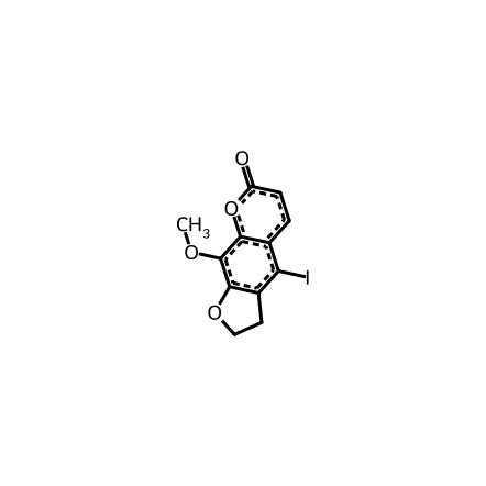 COc1c2c(c(I)c3ccc(=O)oc13)CCO2